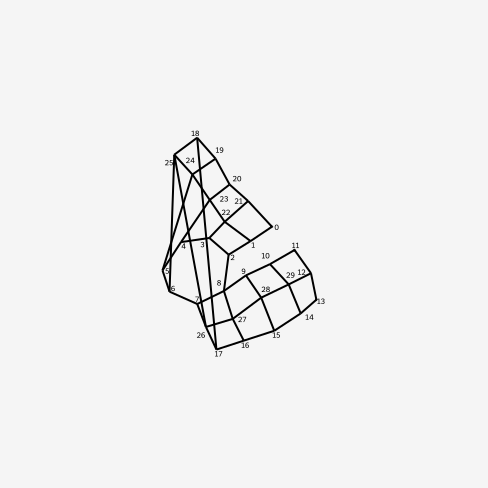 C1C2C3C4C5C6C7C8C39C3C%10CC%11CC%12C%13C%14C%15C%16C%17C%18C1C24C%185C%176C%167C%158C%149C%133C%11%12%10